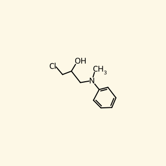 CN(CC(O)CCl)c1ccccc1